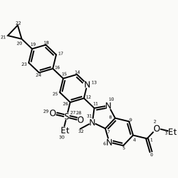 C=C(OCC)c1cnc2c(c1)nc(-c1ncc(-c3ccc(C4CC4)cc3)cc1S(=O)(=O)CC)n2C